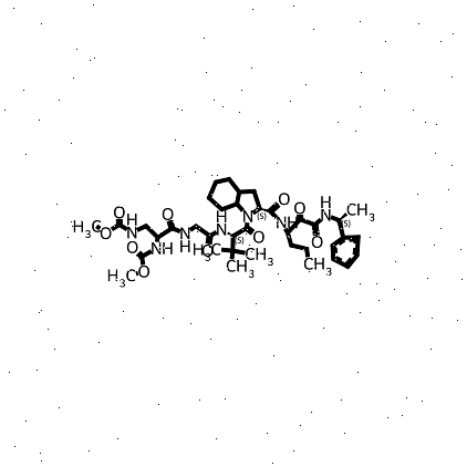 CCCC(NC(=O)[C@@H]1CC2CCCCC2N1C(=O)[C@@H](NC(=O)CNC(=O)C(CNC(=O)OC)NC(=O)OC)C(C)(C)C)C(=O)C(=O)N[C@@H](C)c1ccccc1